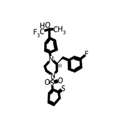 CC(O)(c1ccc(N2CCN(S(=O)(=O)C3=CC=CCC3=S)C[C@@H]2Cc2cccc(F)c2)cc1)C(F)(F)F